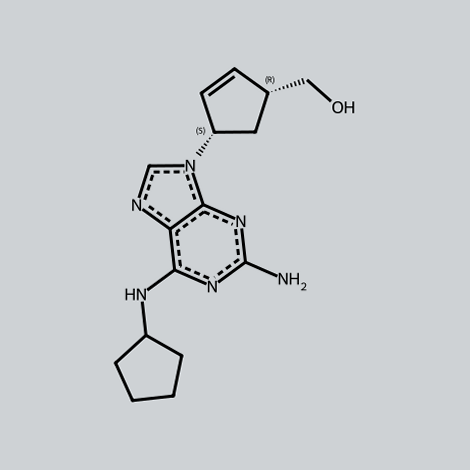 Nc1nc(NC2CCCC2)c2ncn([C@@H]3C=C[C@H](CO)C3)c2n1